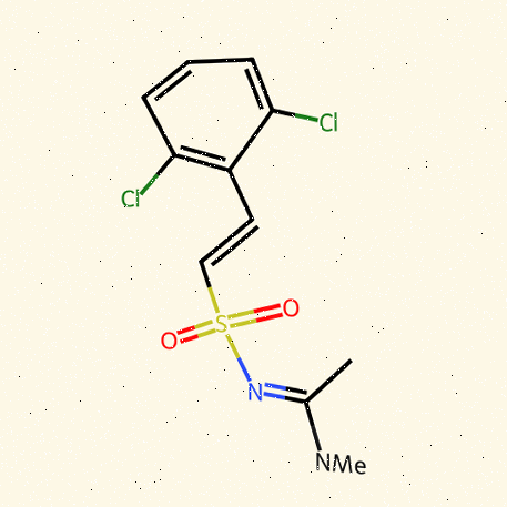 CNC(C)=NS(=O)(=O)C=Cc1c(Cl)cccc1Cl